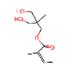 CC=C(C)C(=O)OCC(C)(CO)CO